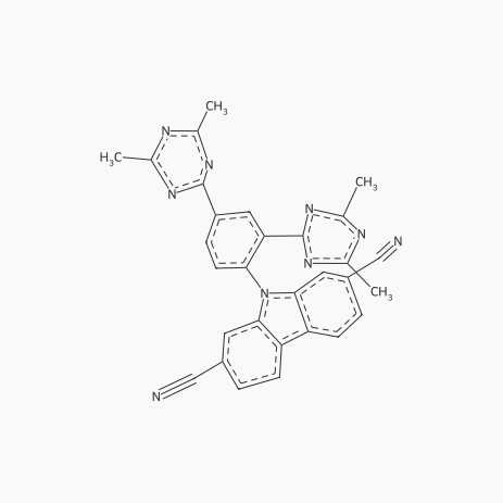 Cc1nc(C)nc(-c2ccc(-n3c4cc(C#N)ccc4c4ccc(C#N)cc43)c(-c3nc(C)nc(C)n3)c2)n1